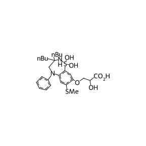 CCCCC1(CCCC)CN(c2ccccc2)c2cc(SC)c(OCC(O)C(=O)O)cc2S(O)(O)N1